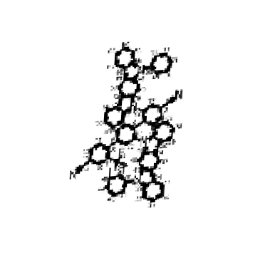 N#Cc1ccc(-c2ccc(-c3ccc(C#N)cc3C(F)(F)F)cc2-n2c3ccccc3c3cc4c5ccccc5n(-c5ccccc5)c4cc32)c(-n2c3ccccc3c3cc4c5ccccc5n(-c5ccccc5)c4cc32)c1